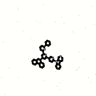 c1ccc(-c2cccc(-c3cc(-c4cc5ccccc5c5ccccc45)cc(-c4ccc(-n5c6ccccc6c6ccncc65)nc4)n3)n2)cc1